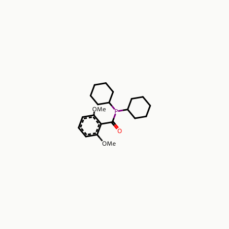 COc1cccc(OC)c1C(=O)P(C1CCCCC1)C1CCCCC1